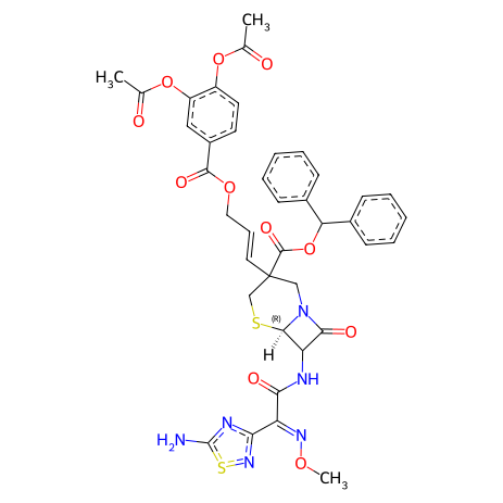 CON=C(C(=O)NC1C(=O)N2CC(C=CCOC(=O)c3ccc(OC(C)=O)c(OC(C)=O)c3)(C(=O)OC(c3ccccc3)c3ccccc3)CS[C@H]12)c1nsc(N)n1